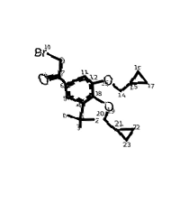 CC(C)(C)c1cc(C(=O)CBr)cc(OCC2CC2)c1OCC1CC1